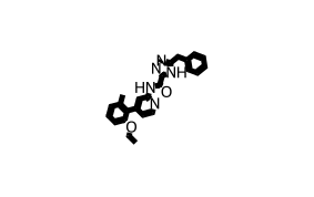 CCOc1cccc(C)c1-c1ccnc(NC(=O)c2nnc(Cc3ccccc3)[nH]2)c1